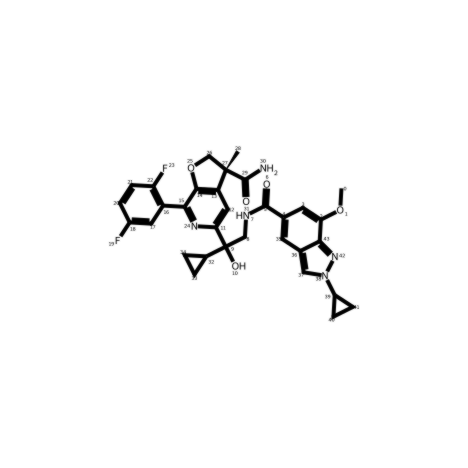 COc1cc(C(=O)NCC(O)(c2cc3c(c(-c4cc(F)ccc4F)n2)OC[C@]3(C)C(N)=O)C2CC2)cc2cn(C3CC3)nc12